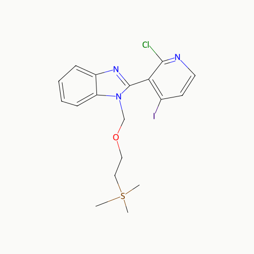 CS(C)(C)CCOCn1c(-c2c(I)ccnc2Cl)nc2ccccc21